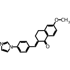 COc1ccc2c(c1)CCC(=Cc1ccc(-n3ccnc3)cc1)C2=O